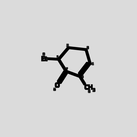 CCC1CCC=C(C)C1=O